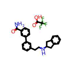 NC(=O)c1cccc(-c2cccc(CCNC3Cc4ccccc4C3)c2)c1.O=C(O)C(F)(F)F